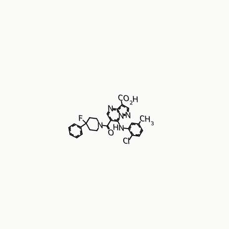 Cc1ccc(Cl)c(Nc2c(C(=O)N3CCC(F)(c4ccccc4)CC3)cnc3c(C(=O)O)cnn23)c1